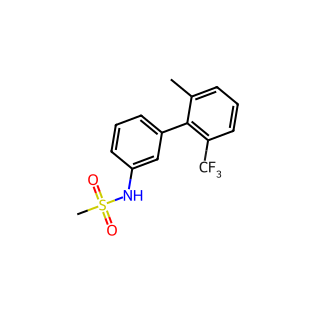 Cc1cccc(C(F)(F)F)c1-c1cccc(NS(C)(=O)=O)c1